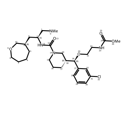 CNC[C@H](C[C@H]1CCCCOC1)NC(=O)N1CCC[C@@H]([C@@H](OCCNC(=O)OC)c2cccc(Cl)c2)C1